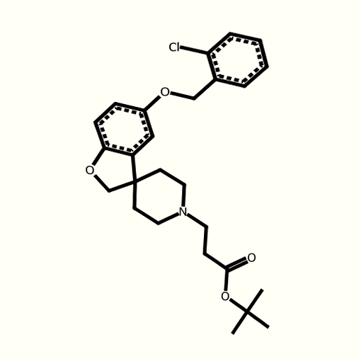 CC(C)(C)OC(=O)CCN1CCC2(CC1)COc1ccc(OCc3ccccc3Cl)cc12